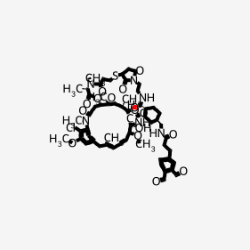 COc1cc2cc(c1Cl)N(C)C(=O)C[C@@H](OC(=O)[C@H](C)N(C)C(=O)CCSC1CC(=O)N(CCNC(=O)[C@H]3CC[C@H](CNC(=O)CCc4ccc(C=O)c(C=O)c4)CC3)C1=O)[C@]1(C)OC1[C@H](C)[C@@H]1C[C@@](O)(NC(=O)O1)C(OC)/C=C\C=C(/C)C2